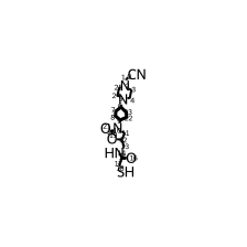 N#CCN1CCN(c2ccc(N3CC(CNC(=O)CS)OC3=O)cc2)CC1